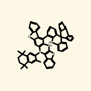 Cc1cc2c(cc1N1c3cc4oc5ccccc5c4c(-c4cccc5c4Nc4ccccc4C54c5ccccc5-c5ccccc54)c3Bc3sc4ccccc4c31)C(C)(C)CCC2(C)C